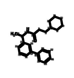 CC(NC(=O)CCN1CCCCC1)c1cccc(-c2cccnc2)c1